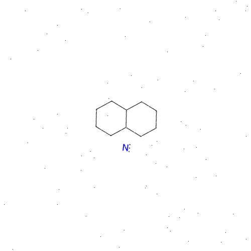 C1CCC2CCCCC2C1.[N]